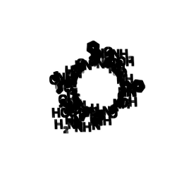 CC[C@H](C)[C@H](NC(C)=O)C(=O)N[C@H]1CSSC[C@@H](C(=O)N[C@@H](C(=O)O)[C@@H](C)O)NC(=O)[C@H](CCCNC(=N)N)NC(=O)[C@H](Cc2cnc[nH]2)NC(=O)[C@H](C)NC(=O)CNC(=O)[C@H](Cc2c[nH]c3ccccc23)NC(=O)[C@@H](CC(=O)O)NC(=O)[C@H](CCC(N)=O)NC(=O)[C@@H](Cc2c[nH]c3ccccc23)NC(=O)[C@H](C(C)C)NC1=O